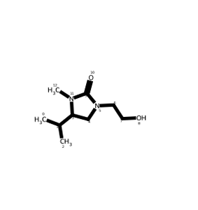 CC(C)C1CN(CCO)C(=O)N1C